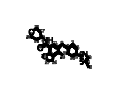 Cc1cnc(-c2ccc(Cc3cc(C(=O)NC4CCOCC4)c4c(c3C)CCO4)cc2)s1